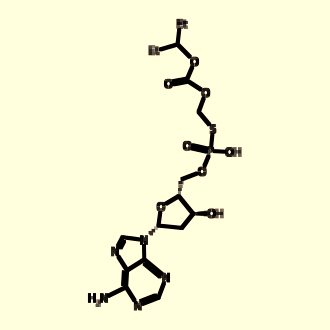 CCC(CC)OC(=O)OCSP(=O)(O)OC[C@H]1O[C@@H](n2cnc3c(N)ncnc32)C[C@@H]1O